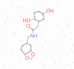 O=C(Cc1cc(O)ccc1O)NCc1ccc2c(c1)OCO2